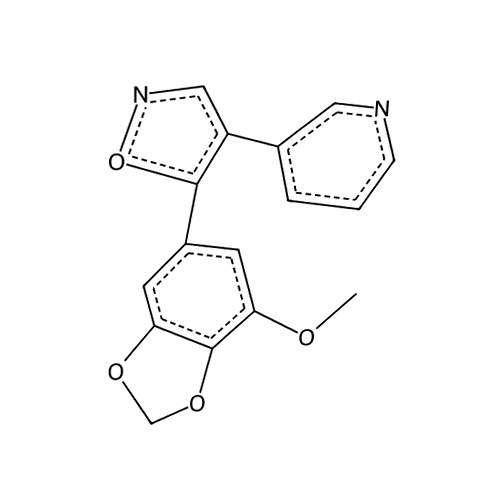 COc1cc(-c2oncc2-c2cccnc2)cc2c1OCO2